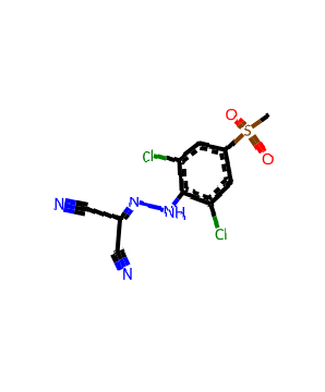 CS(=O)(=O)c1cc(Cl)c(NN=C(C#N)C#N)c(Cl)c1